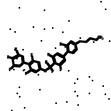 CCCCCc1ccc(-c2cc(F)c(C(F)(F)Oc3cc(F)c(-c4cc(F)c(F)c(F)c4)c(F)c3)c(F)c2)c(F)c1